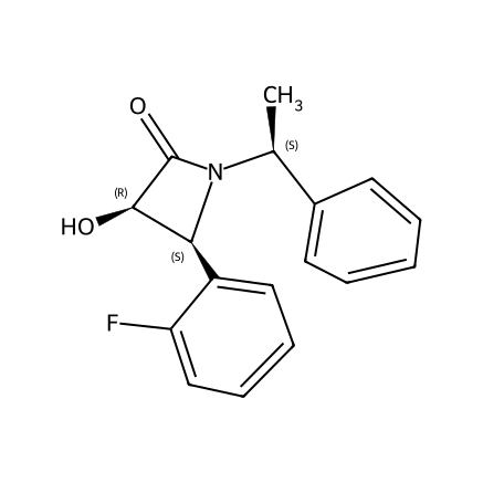 C[C@@H](c1ccccc1)N1C(=O)[C@H](O)[C@@H]1c1ccccc1F